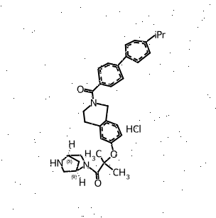 CC(C)c1ccc(-c2ccc(C(=O)N3CCc4cc(OC(C)(C)C(=O)N5C[C@H]6C[C@@H]5CN6)ccc4C3)cc2)cc1.Cl